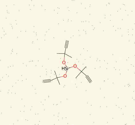 C#CC(C)(C)O[SiH](OC(C)(C)C#C)OC(C)(C)C#C